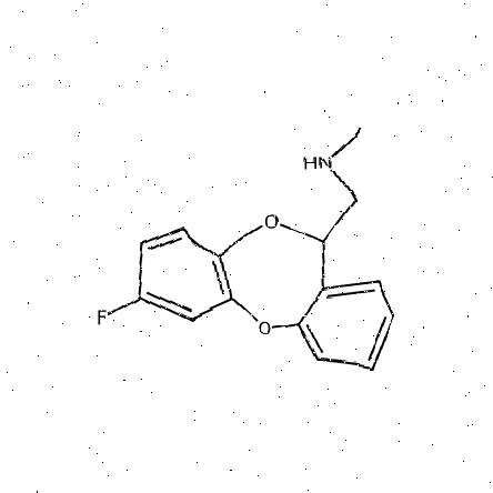 CNCC1Oc2ccc(F)cc2Oc2ccccc21